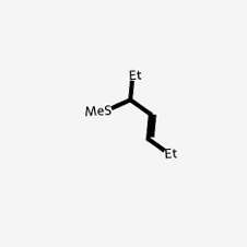 [CH2]CC=CC(CC)SC